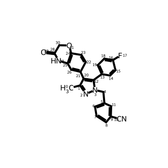 Cc1nn(Cc2cccc(C#N)c2)c(-c2ccc(F)cc2)c1-c1ccc2c(c1)NC(=O)CO2